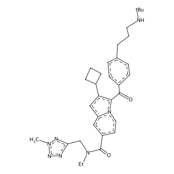 CCN(Cc1nnn(C)n1)C(=O)c1ccn2c(C(=O)c3ccc(CCCNC(C)(C)C)cc3)c(C3CCC3)cc2c1